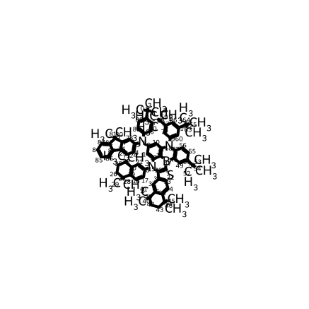 CC(C)(C)c1ccc(N(c2cc3c4c(c2)N(c2ccc5c(c2)C(C)(C)CCC5(C)C)c2c(sc5cc6c(cc25)C(C)(C)CCC6(C)C)B4c2cc(C(C)(C)C)ccc2N3c2cc(C(C)(C)C)cc(C(C)(C)C)c2)c2ccc3c(c2)C(C)(C)c2ccccc2-3)cc1